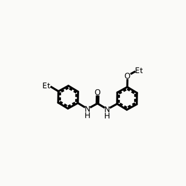 CCOc1cccc(NC(=O)Nc2ccc(CC)cc2)c1